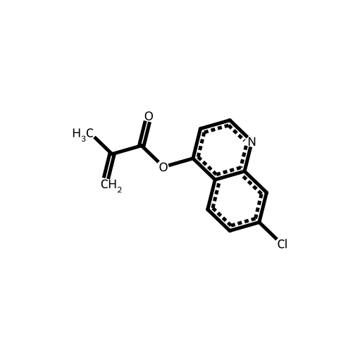 C=C(C)C(=O)Oc1ccnc2cc(Cl)ccc12